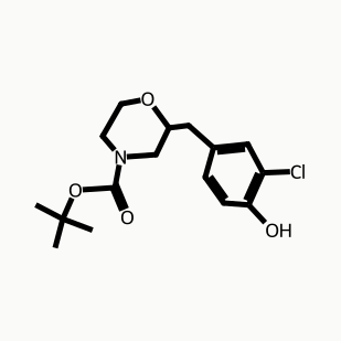 CC(C)(C)OC(=O)N1CCOC(Cc2ccc(O)c(Cl)c2)C1